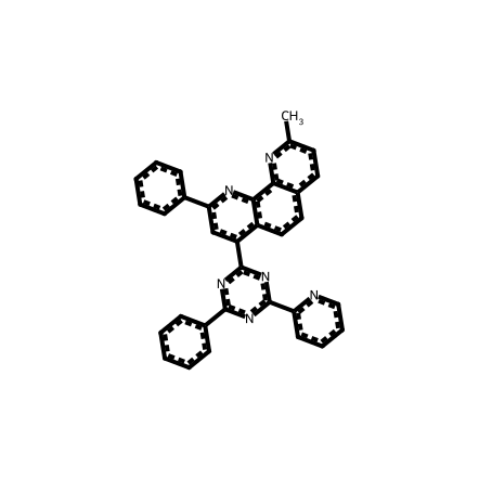 Cc1ccc2ccc3c(-c4nc(-c5ccccc5)nc(-c5ccccn5)n4)cc(-c4ccccc4)nc3c2n1